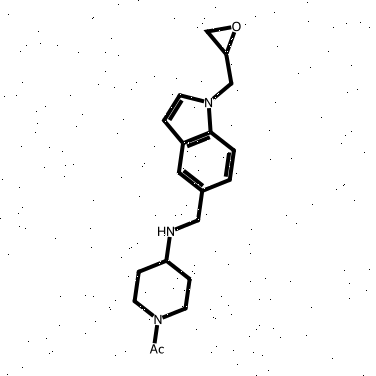 CC(=O)N1CCC(NCc2ccc3c(ccn3CC3CO3)c2)CC1